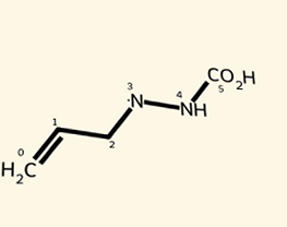 C=CC[N]NC(=O)O